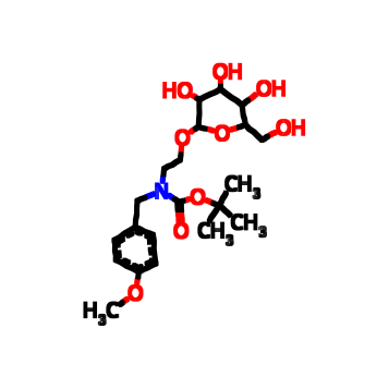 COc1ccc(CN(CCOC2OC(CO)C(O)C(O)C2O)C(=O)OC(C)(C)C)cc1